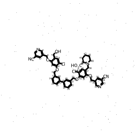 N#Cc1cncc(COc2cc(OCc3cccc(-c4cccc(COc5cc(OCc6cncc(C#N)c6)c(CN6CCCC[C@H]6C(=O)O)cc5Cl)c4)c3)c(Cl)cc2CO)c1